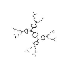 CC(C)CCCN(CCCC(C)C)c1ccc(N(c2ccc(N(CCCC(C)C)CCCC(C)C)cc2)c2ccc(N(c3ccc(N(CCCC(C)C)CCCC(C)C)cc3)c3ccc(N(CCCC(C)C)CCCC(C)C)cc3)cc2)cc1